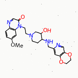 COc1ccc2ncc(=O)n(CCN3CCC(NCc4cc5c(cn4)OCCO5)C(O)C3)c2c1